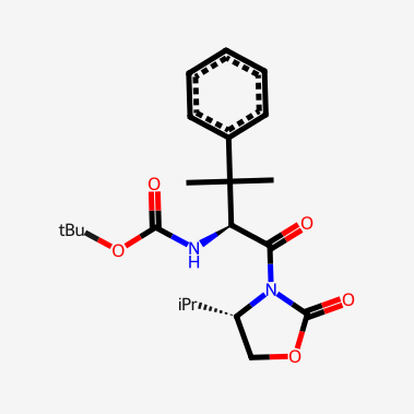 CC(C)[C@H]1COC(=O)N1C(=O)[C@@H](NC(=O)OC(C)(C)C)C(C)(C)c1ccccc1